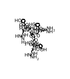 N=C(N)NCCC[C@@H](NC(=O)c1cccc(O)c1O)C(=O)N[C@@H](COC(=O)[C@H](COC(=O)[C@H](CO)NC(=O)[C@@H](CCCNC(=N)N)NC(=O)c1cccc(O)c1O)NC(=O)[C@@H](CCCNC(=N)N)NC(=O)c1cccc(O)c1O)C(=O)O